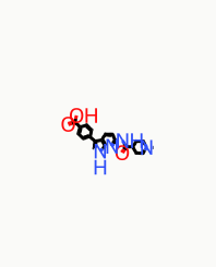 CN1CCC(C(=O)Nc2ccc3c(-c4ccc(C(=O)O)cc4)c[nH]c3n2)CC1